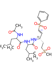 CC(=O)NC(CC(C)C)C(=O)NC(CC(C)C)C(=O)N[C@H](/C=C/S(=O)(=O)c1ccccc1)CCS(C)(=O)=O